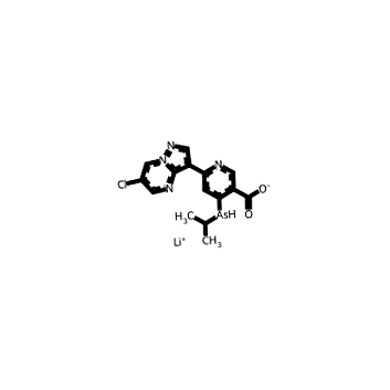 CC(C)[AsH]c1cc(-c2cnn3cc(Cl)cnc23)ncc1C(=O)[O-].[Li+]